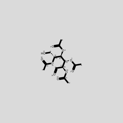 CC(=O)O[C@@H]([C@H](OC(C)=O)[C@@H](CO)OC(C)=O)[C@H](C=O)OC(C)=O